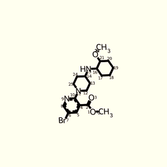 COC(=O)c1cc(Br)cnc1N1CCC(NC2CCCCC2OC)CC1